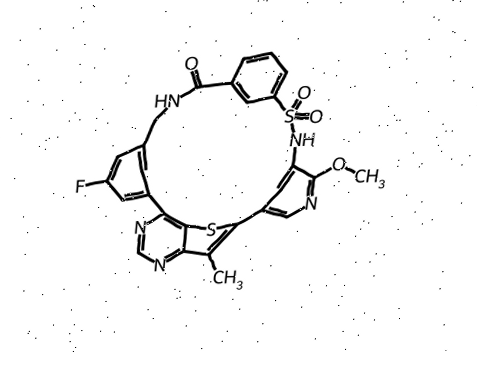 COc1ncc2cc1NS(=O)(=O)c1cccc(c1)C(=O)NCc1cc(F)cc(c1)-c1ncnc3c(C)c-2sc13